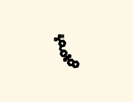 O=C(O)c1cccc(CN2CCN(S(=O)(=O)c3ccc4ccccc4c3)CC2)c1